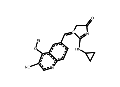 CCOc1c(C#N)cnc2ccc(/C=S3/CC(=O)N=C3NC3CC3)cc12